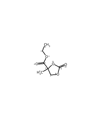 CCOC(=O)C1(C)COC(=O)O1